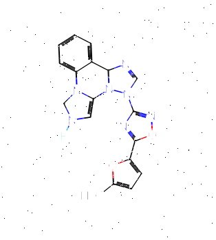 Cc1ccc(-c2nc(N3C=NC4c5ccccc5N5CN(F)C=C5N43)no2)o1